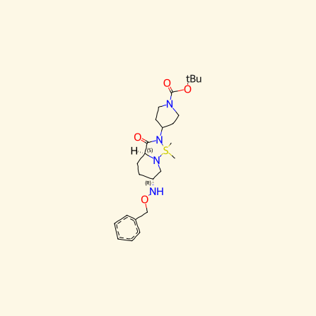 CC(C)(C)OC(=O)N1CCC(N2C(=O)[C@@H]3CC[C@@H](NOCc4ccccc4)CN3S2(C)C)CC1